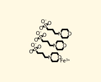 O=S(=O)([O-])CCCN1CCOCC1.O=S(=O)([O-])CCCN1CCOCC1.O=S(=O)([O-])CCCN1CCOCC1.[Fe+3]